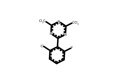 Fc1cccc(Cl)c1-c1nc(C(Cl)(Cl)Cl)nc(C(Cl)(Cl)Cl)n1